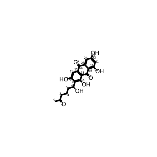 CC(=O)CCC[C@H](O)c1c(O)cc2c(c1O)C(=O)c1c(O)cc(O)cc1C2=O